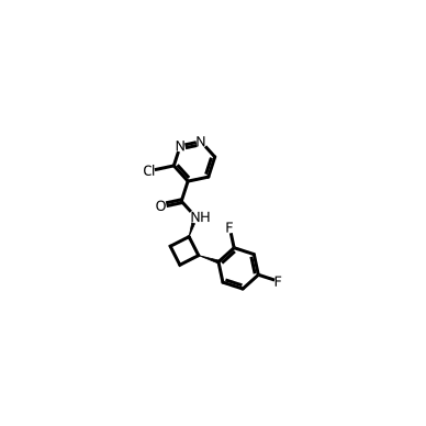 O=C(N[C@@H]1CC[C@@H]1c1ccc(F)cc1F)c1ccnnc1Cl